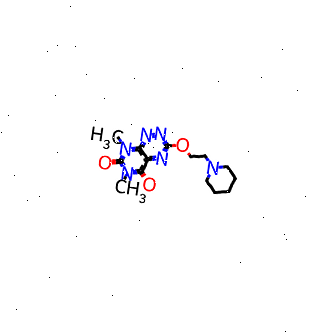 Cn1c(=O)c2nc(OCCN3CCCCC3)nnc2n(C)c1=O